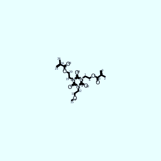 C=C(C)C(=O)OCCn1c(=O)n(CCOC)c(=O)n(CCOC(=O)C(=C)C)c1=O